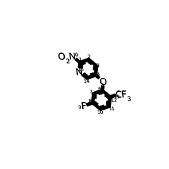 O=[N+]([O-])c1ccc(Oc2cc(F)ccc2C(F)(F)F)cn1